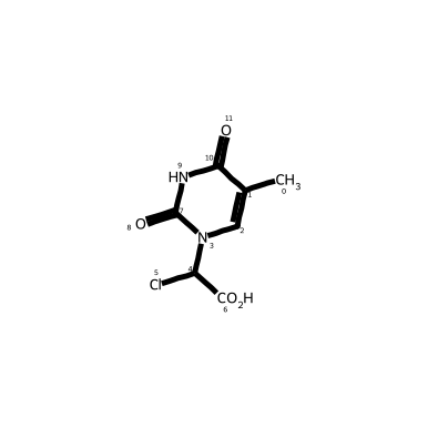 Cc1cn(C(Cl)C(=O)O)c(=O)[nH]c1=O